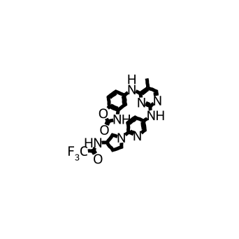 Cc1cnc(Nc2ccc(N3CCC(NC(=O)C(F)(F)F)C3)nc2)nc1Nc1ccc2oc(=O)[nH]c2c1